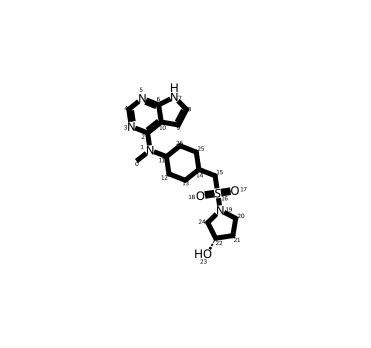 CN(c1ncnc2[nH]ccc12)C1CCC(CS(=O)(=O)N2CC[C@H](O)C2)CC1